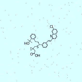 CC(C)(O)c1ccccc1CC[C@H](SCC1(CC(=O)O)CC1)c1cccc(C=Cc2ccc3ccc(Cl)cc3n2)c1